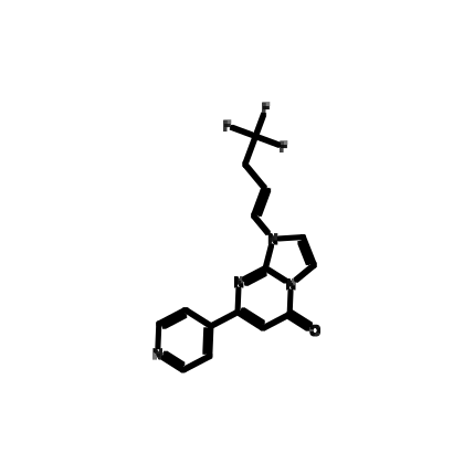 O=c1cc(-c2ccncc2)nc2n(C=CCC(F)(F)F)ccn12